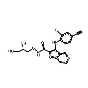 C#Cc1ccc(Nc2c(C(=O)NOC[C@H](O)CO)oc3ccncc23)c(F)c1